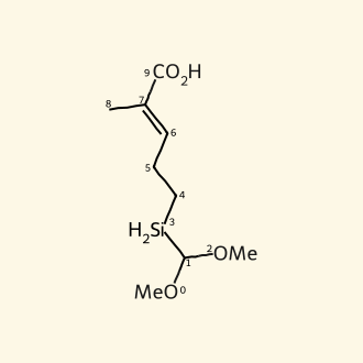 COC(OC)[SiH2]CCC=C(C)C(=O)O